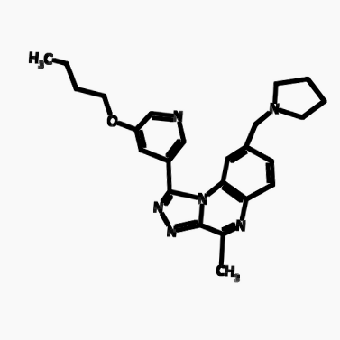 CCCCOc1cncc(-c2nnc3c(C)nc4ccc(CN5CCCC5)cc4n23)c1